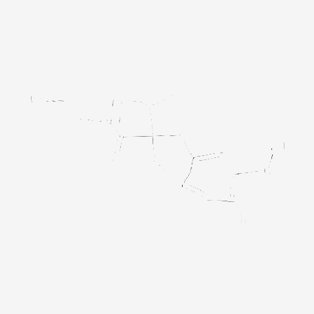 CCCNC(=O)C(C)(Oc1ccc(Br)c(OC)c1)C(C)C